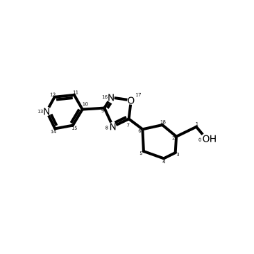 OCC1CCCC(c2nc(-c3ccncc3)no2)C1